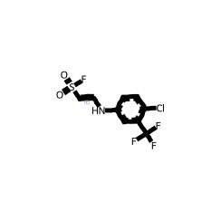 O=S(=O)(F)/C=C/Nc1ccc(Cl)c(C(F)(F)F)c1